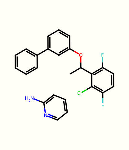 CC(Oc1cccc(-c2ccccc2)c1)c1c(F)ccc(F)c1Cl.Nc1ccccn1